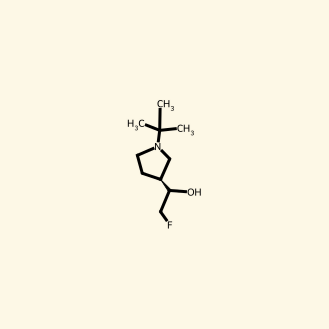 CC(C)(C)N1CC[C@H](C(O)CF)C1